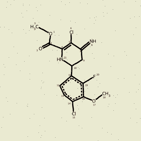 COC(=O)C1=C(Cl)C(=N)CC(c2ccc(Cl)c(OC)c2F)N1